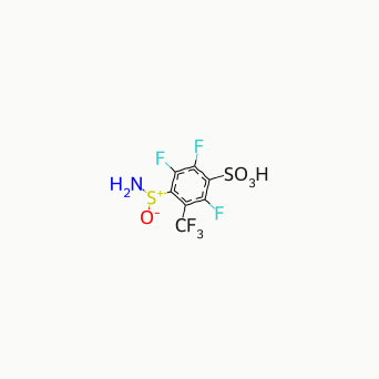 N[S+]([O-])c1c(F)c(F)c(S(=O)(=O)O)c(F)c1C(F)(F)F